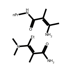 CC/C(=C(/C)C(N)=O)N(C)C.CCCNC(=O)/C(C)=C(/C)N